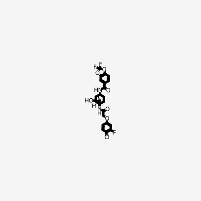 O=C(COc1ccc(Cl)c(F)c1)NC12CCC(NC(=O)c3ccc4c(c3)OC(F)(F)O4)(CC1)C[C@@H]2O